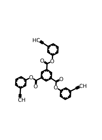 C#Cc1cccc(OC(=O)c2cc(C(=O)Oc3cccc(C#C)c3)cc(C(=O)Oc3cccc(C#C)c3)c2)c1